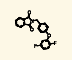 O=C1c2ccccc2C(=O)N1Cc1ccc(Oc2cc(F)ccc2F)cc1